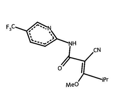 CO/C(=C(/C#N)C(=O)Nc1ccc(C(F)(F)F)cn1)C(C)C